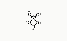 O=S1(=O)[O][Tl][O]1